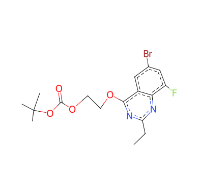 CCc1nc(OCCOC(=O)OC(C)(C)C)c2cc(Br)cc(F)c2n1